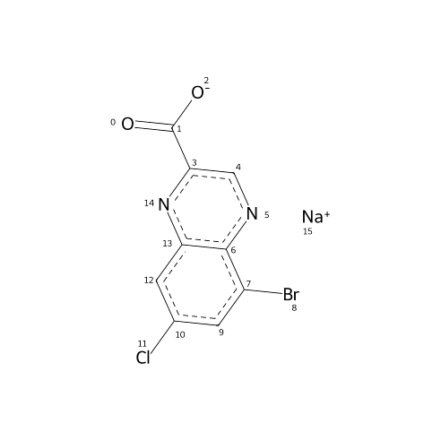 O=C([O-])c1cnc2c(Br)cc(Cl)cc2n1.[Na+]